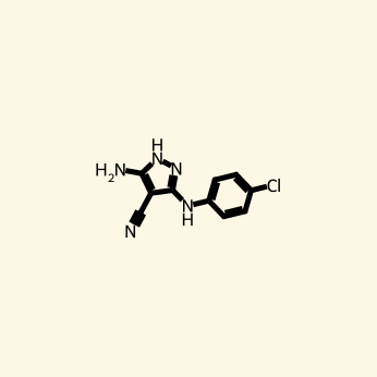 N#Cc1c(Nc2ccc(Cl)cc2)n[nH]c1N